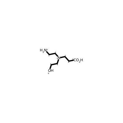 NCCN(CCO)CCC(=O)O